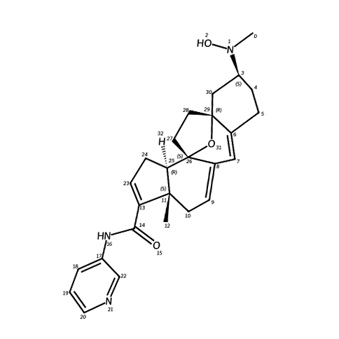 CN(O)[C@H]1CCC2=CC3=CC[C@]4(C)C(C(=O)Nc5cccnc5)=CC[C@H]4[C@@]34CC[C@]2(C1)O4